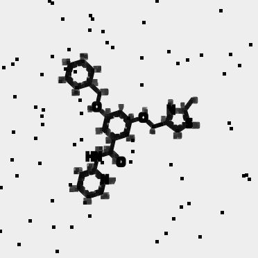 Cc1nc(COc2cc(OCc3ccccc3)cc(C(=O)Nc3ccccn3)c2)cs1